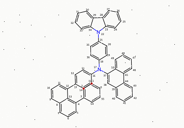 c1ccc(-c2cccc3cccc(-c4ccc(N(c5ccc(-n6c7ccccc7c7ccccc76)cc5)c5cc6ccccc6c6ccccc56)cc4)c23)cc1